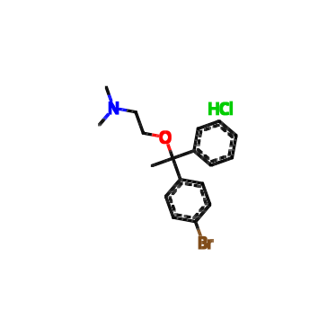 CN(C)CCOC(C)(c1ccccc1)c1ccc(Br)cc1.Cl